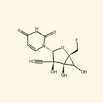 C#C[C@]1(O)[C@H](n2ccc(=O)[nH]c2=O)O[C@]2(CF)C(O)[C@@]21O